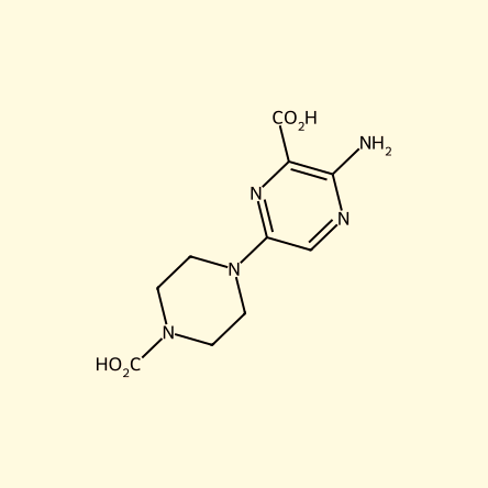 Nc1ncc(N2CCN(C(=O)O)CC2)nc1C(=O)O